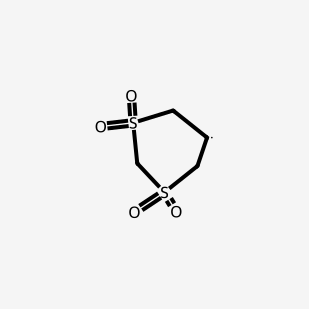 O=S1(=O)C[CH]CS(=O)(=O)C1